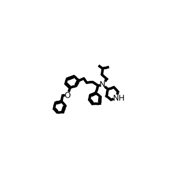 CC(C)CCN(C1CCNCC1)C(CCCc1cccc(OCc2ccccc2)c1)c1ccccc1